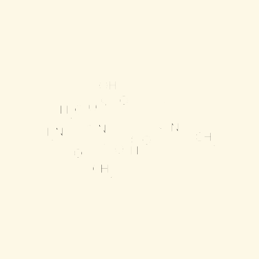 C=CC(=O)N(C(=C)C(N)=O)C(C(C)CC1CCN(C=C)C1=O)S(=O)(=O)O